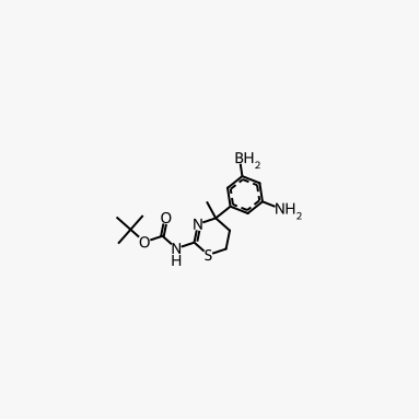 Bc1cc(N)cc(C2(C)CCSC(NC(=O)OC(C)(C)C)=N2)c1